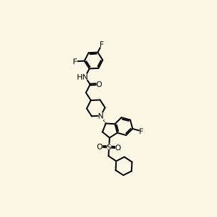 O=C(CC1CCN([C@H]2CC(S(=O)(=O)CC3CCCCC3)c3cc(F)ccc32)CC1)Nc1ccc(F)cc1F